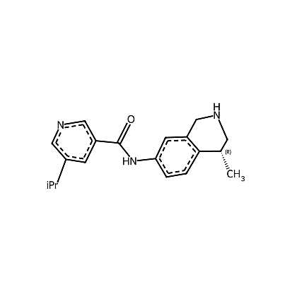 CC(C)c1cncc(C(=O)Nc2ccc3c(c2)CNC[C@@H]3C)c1